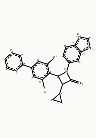 O=C1C(C2CC2)C(c2c(F)cc(-c3cnccn3)cc2F)N1c1ccc2[nH]cnc2c1